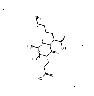 NCCCC[C@@H](C(=O)O)N(NC(N)=O)C(=O)[C@H](CCC(=O)O)NO